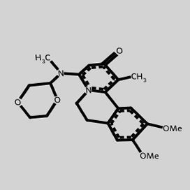 COc1cc2c(cc1OC)-c1c(C)c(=O)cc(N(C)C3COCCO3)n1CC2